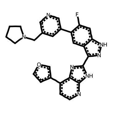 Fc1cc2[nH]nc(-c3nc4c(-c5ccoc5)ccnc4[nH]3)c2cc1-c1cncc(CN2CCCC2)c1